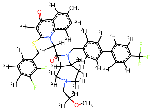 [2H]c1c([2H])c(F)c(F)c(CSc2c([2H])c(=O)c3c([2H])c(C)c([2H])c([2H])c3n2C([2H])([2H])C(=O)N(Cc2c([2H])c([2H])c(-c3c([2H])c([2H])c(C(F)(F)F)c([2H])c3[2H])c([2H])c2[2H])C2([2H])C([2H])([2H])C([2H])([2H])N(CC([2H])([2H])OC)C([2H])([2H])C2([2H])[2H])c1[2H]